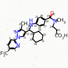 Cc1nn(-c2ccc(C(F)(F)F)cn2)cc1C(Nc1ccc(C(=O)N(C)CCC(=O)O)cc1)C1CCCCC1